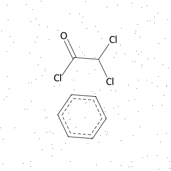 O=C(Cl)C(Cl)Cl.c1ccccc1